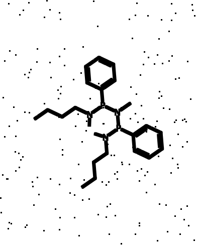 CCCCN(C)P(c1ccccc1)N(C)P(c1ccccc1)N(C)CCCC